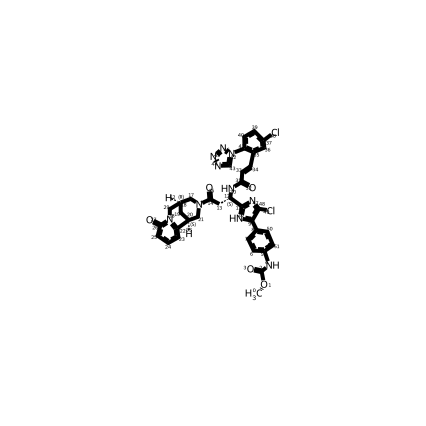 COC(=O)Nc1ccc(-c2[nH]c([C@H](CC(=O)N3C[C@H]4C[C@@H](C3)c3cccc(=O)n3C4)NC(=O)C=Cc3cc(Cl)ccc3-n3cnnn3)nc2Cl)cc1